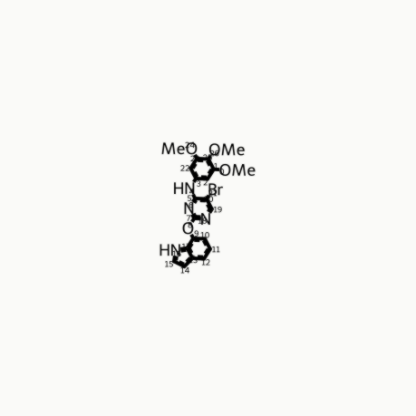 COc1cc(Nc2nc(Oc3cccc4cc[nH]c34)ncc2Br)cc(OC)c1OC